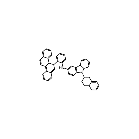 C1=CCC2CCC(N3c4ccc(Nc5ccccc5C5C=c6ccccc6=C6C=Cc7ccccc7C65)cc4C4C=CC=CC43)=CC2=C1